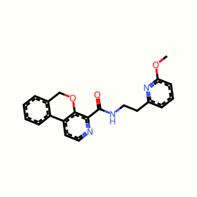 COc1cccc(CCNC(=O)c2nccc3c2OCc2ccccc2-3)n1